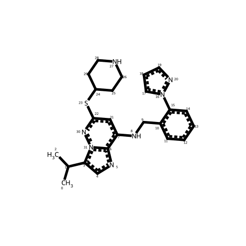 CC(C)c1cnc2c(NCc3ccccc3-n3cccn3)cc(SC3CCNCC3)nn12